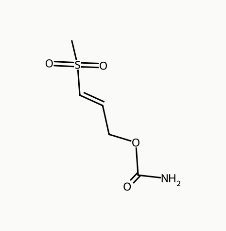 CS(=O)(=O)C=CCOC(N)=O